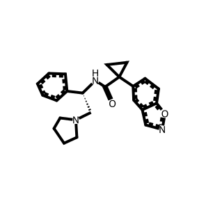 O=C(N[C@H](CN1CCCC1)c1ccccc1)C1(c2ccc3oncc3c2)CC1